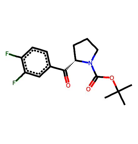 CC(C)(C)OC(=O)N1CCC[C@H]1C(=O)c1ccc(F)c(F)c1